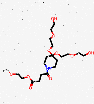 CCCOCCOC(=O)CCC(=O)N1CCC(OCCOCCO)(OCCOCCO)CC1